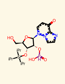 CC(C)[Si](O[C@H]1[C@@H](O[PH](=O)O)[C@H](n2ccc(=O)c3nccn32)O[C@@H]1CO)(C(C)C)C(C)C